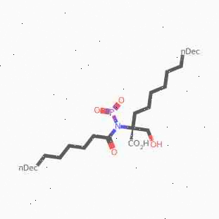 CCCCCCCCCCCCCCCC[C@@](CO)(C(=O)O)N(C(=O)CCCCCCCCCCCCCCC)P(=O)=O